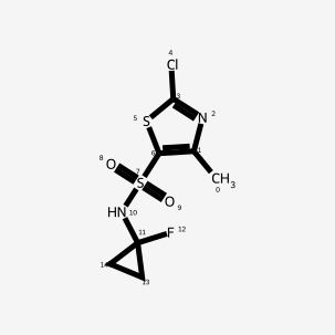 Cc1nc(Cl)sc1S(=O)(=O)NC1(F)CC1